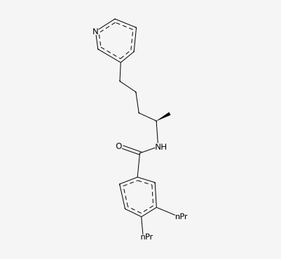 CCCc1ccc(C(=O)N[C@H](C)CCCc2cccnc2)cc1CCC